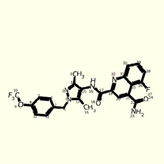 Cc1nn(Cc2ccc(OC(F)(F)F)cc2)c(C)c1NC(=O)c1cc(C(N)=O)c2c(F)cccc2n1